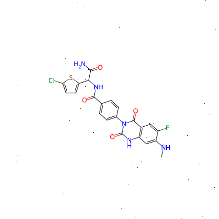 CNc1cc2[nH]c(=O)n(-c3ccc(C(=O)NC(C(N)=O)c4ccc(Cl)s4)cc3)c(=O)c2cc1F